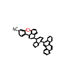 N#Cc1ccc2c(c1)Oc1cccc3c(-c4ccc(-c5cc6c7ccccc7ccc6c6ccccc56)c5ccccc45)ccc-2c13